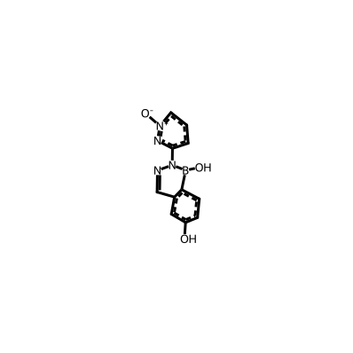 [O-][n+]1cccc(N2N=Cc3cc(O)ccc3B2O)n1